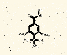 COc1cc(C(=O)NC(C)(C)C)cc(OC)c1[Si](C)(C)C